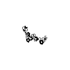 CC1(C)OC[C@@H](Cn2ccc(NC(=O)C(CC3CCCC3)n3ncc(Oc4ccccc4OC(F)(F)F)cc3=O)n2)O1